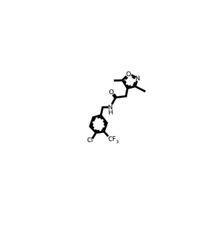 Cc1noc(C)c1CC(=O)NCc1ccc(Cl)c(C(F)(F)F)c1